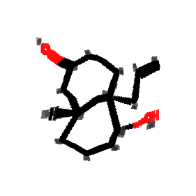 C=CC[C@@]12CCC(=O)C[C@H]1CCC[C@H]2O